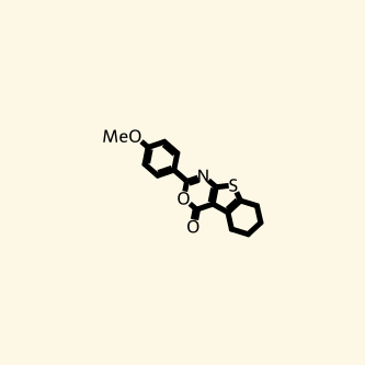 COc1ccc(-c2nc3sc4c(c3c(=O)o2)CCCC4)cc1